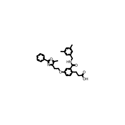 Cc1cc(C)cc(CNC(=O)c2cc(OCCc3nc(-c4ccccc4)oc3C)ccc2CCC(=O)O)c1